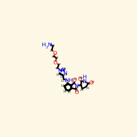 NCCOCCOCCn1cc(CNc2cccc3c2C(=O)N(C2CCC(=O)NC2=O)C3=O)nn1